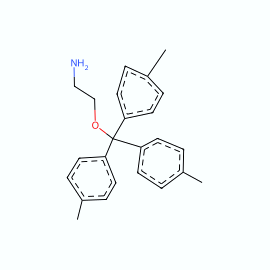 Cc1ccc(C(OCCN)(c2ccc(C)cc2)c2ccc(C)cc2)cc1